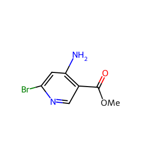 COC(=O)c1cnc(Br)cc1N